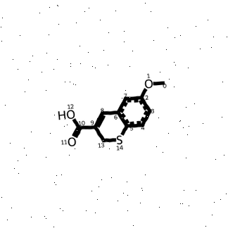 COc1ccc2c(c1)C=C(C(=O)O)CS2